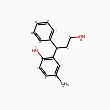 Cc1ccc(O)c(C(CCO)c2ccccc2)c1